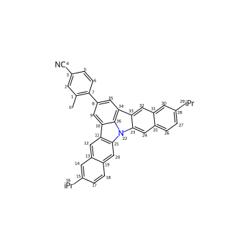 Cc1cc(C#N)ccc1-c1cc2c3cc4cc(C(C)C)ccc4cc3n3c4cc5ccc(C(C)C)cc5cc4c(c1)c23